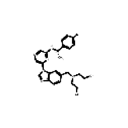 C[C@H](Nc1cncc(-n2cnc3ccc(CN(CCO)CCO)cc32)n1)c1ccc(F)cc1